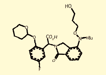 CCCCN(OCCCO)c1cccc2c1CN(C(C(=O)O)c1cc(F)ccc1OC1CCCCO1)C2=O